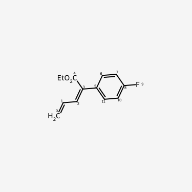 C=CC=C(C(=O)OCC)c1ccc(F)cc1